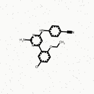 CCOc1ccc(Cl)cc1-c1cc(Nc2ccc(C#N)cc2)nc(N)n1